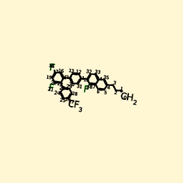 C=CCCc1ccc2c(F)c(-c3ccc(-c4cc(F)cc(F)c4-c4ccc(C(F)(F)F)cc4)cc3)ccc2c1